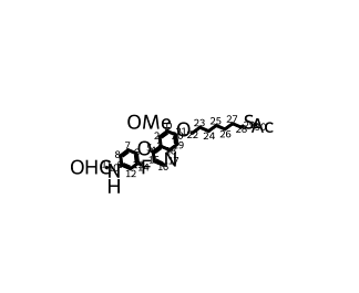 COc1cc2c(Oc3ccc(NC=O)cc3F)ccnc2cc1OCCCCCCCSC(C)=O